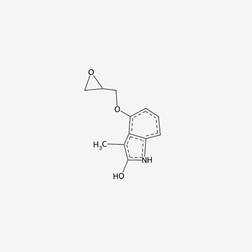 Cc1c(O)[nH]c2cccc(OCC3CO3)c12